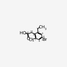 CCc1cc(Br)cc(Cl)c1CC(=O)O